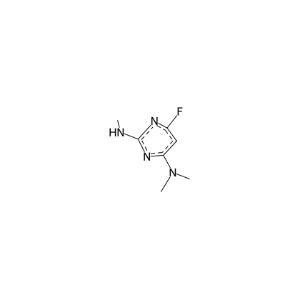 CNc1nc(F)cc(N(C)C)n1